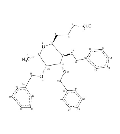 C[C@@H]1O[C@@H](CCCC=O)[C@@H](OCc2ccccc2)[C@H](OCc2ccccc2)[C@@H]1OCc1ccccc1